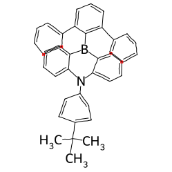 CC(C)(C)c1ccc(N2c3ccccc3B(c3c(-c4ccccc4)cccc3-c3ccccc3)c3ccccc32)cc1